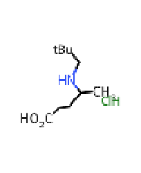 CC(CCC(=O)O)NCC(C)(C)C.Cl